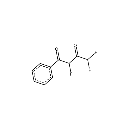 O=C(c1ccccc1)C(F)C(=O)C(F)F